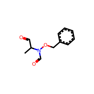 CC(C=O)N(C=O)OCc1ccccc1